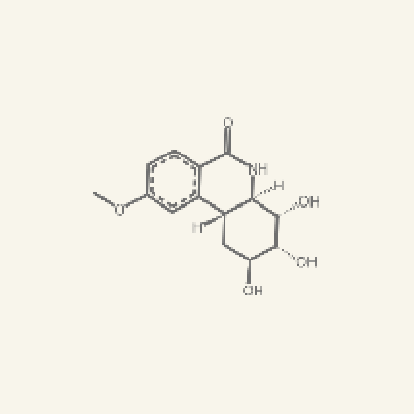 COc1ccc2c(c1)[C@H]1C[C@H](O)[C@@H](O)[C@@H](O)[C@@H]1NC2=O